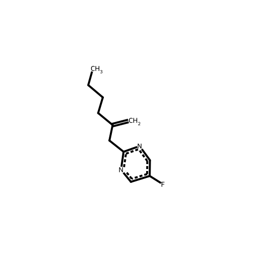 C=C(CCCC)Cc1ncc(F)cn1